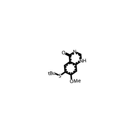 COc1cc2[nH]cnc(=O)c2cc1SC(C)(C)C